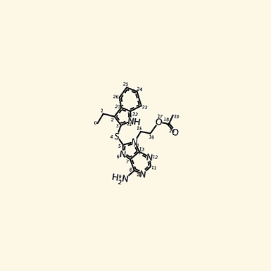 CCc1c(Sc2nc3c(N)ncnc3n2CCOC(C)=O)[nH]c2ccccc12